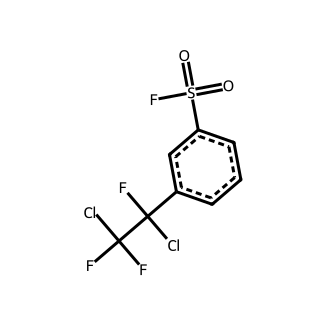 O=S(=O)(F)c1cccc(C(F)(Cl)C(F)(F)Cl)c1